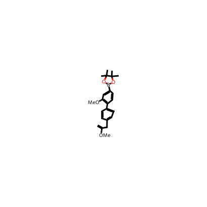 C=C(Cc1ccc(-c2ccc(B3OC(C)(C)C(C)(C)O3)cc2OC)cc1)OC